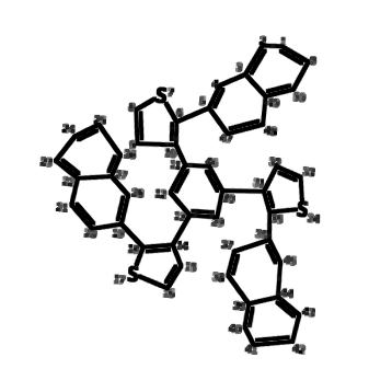 c1ccc2cc(-c3sccc3-c3cc(-c4ccsc4-c4ccc5ccccc5c4)cc(-c4ccsc4-c4ccc5ccccc5c4)c3)ccc2c1